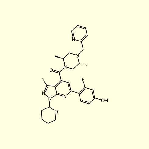 Cc1nn(C2CCCCO2)c2nc(-c3ccc(O)cc3F)cc(C(=O)N3C[C@@H](C)N(Cc4ccccn4)C[C@@H]3C)c12